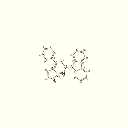 c1ccc(-c2nc(-n3c4ccccc4c4ccccc43)nc3sccc23)nc1